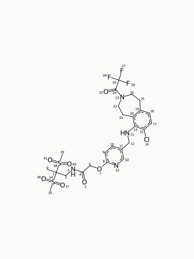 CC(CNC(=O)COc1ccc(CNc2c(Cl)ccc3c2CCN(C(=O)C(F)(F)F)CC3)cn1)(S(C)(=O)=O)S(C)(=O)=O